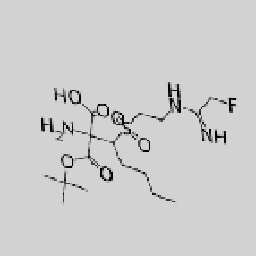 CCCCC(C(N)(C(=O)O)C(=O)OC(C)(C)C)S(=O)(=O)CCNC(=N)CF